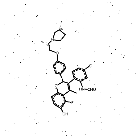 CC1=C(c2ccc(Cl)cc2NC=O)C(c2ccc(OC[C@H](C)N3CC[C@@H](C)C3)cc2)Oc2ccc(O)c(F)c21